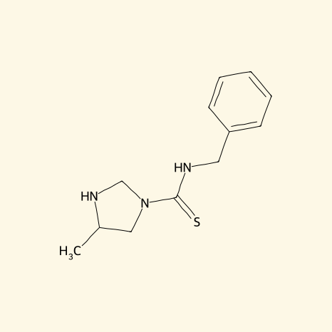 CC1CN(C(=S)NCc2ccccc2)CN1